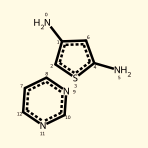 Nc1csc(N)c1.c1cncnc1